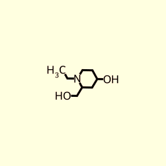 CCN1CCC(O)CC1CO